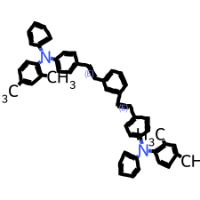 Cc1ccc(N(c2ccccc2)c2ccc(/C=C/c3cccc(/C=C/c4ccc(N(c5ccccc5)c5ccc(C)cc5C)cc4)c3)cc2)c(C)c1